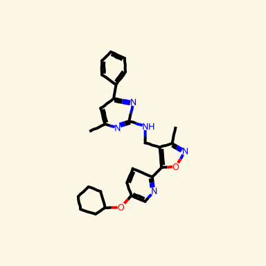 Cc1cc(-c2ccccc2)nc(NCc2c(C)noc2-c2ccc(OC3CCCCC3)cn2)n1